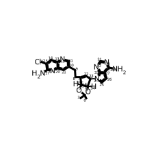 CC1(C)O[C@@H]2[C@H](O1)C(CCc1cnc3cc(Cl)c(N)nc3c1)=C[C@H]2n1ccc2c(N)ncnc21